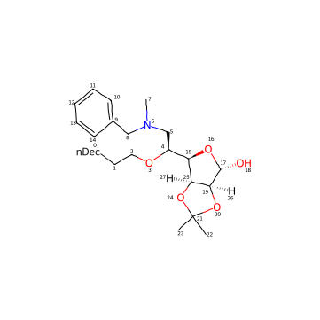 CCCCCCCCCCCCO[C@@H](CN(C)Cc1ccccc1)[C@H]1O[C@H](O)[C@H]2OC(C)(C)O[C@@H]12